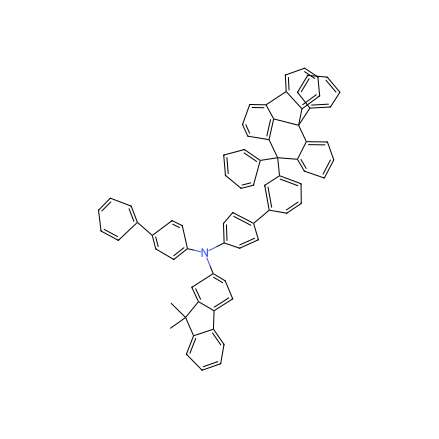 CC1(C)c2ccccc2-c2ccc(N(c3ccc(-c4ccccc4)cc3)c3ccc(-c4cccc(C5(c6ccccc6)c6ccccc6C6(c7ccccc7)c7ccccc7-c7cccc5c76)c4)cc3)cc21